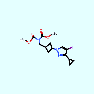 CC(C)(C)OC(=O)N(CC1CC(n2cc(I)c(C3CC3)n2)C1)C(=O)OC(C)(C)C